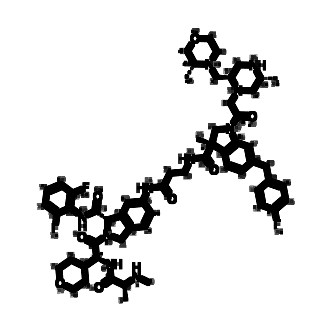 CN[C@@H](C)C(=O)N[C@H](C(=O)N1Cc2ccc(NC(=O)CCNC(=O)[C@]3(C)CN(C(=O)CN4C[C@@H](C)NC[C@@H]4CN4CCOC[C@H]4C)c4cc(Cc5ccc(F)cc5)ccc43)cc2[C@H]1C(=O)Nc1c(F)cccc1F)C1CCOCC1